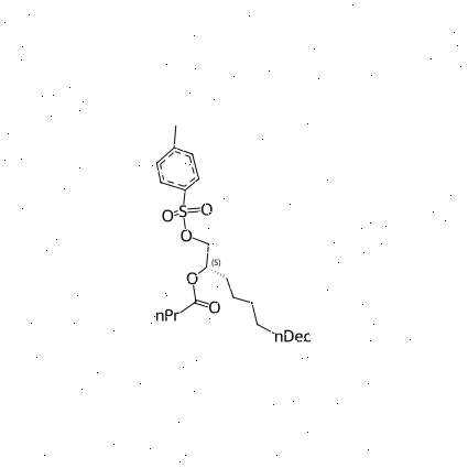 CCCCCCCCCCCCCC[C@@H](COS(=O)(=O)c1ccc(C)cc1)OC(=O)CCC